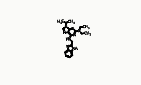 CCN(CC)c1nc(NCc2nc3ccccc3[nH]2)c2ncn(C(C)C)c2n1